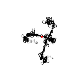 CN1Cc2c(Cl)cc(Cl)cc2[C@H](c2cccc(S(=O)(=O)NCCOCCOCCNC(=O)CCC(CCC(=O)NCCOCCOCCNS(=O)(=O)c3cccc([C@@H]4CN(C)Cc5c(Cl)cc(Cl)cc54)c3)(CCC(=O)NCCOCCOCCNS(=O)(=O)c3cccc([C@@H]4CN(C)Cc5c(Cl)cc(Cl)cc54)c3)NC(=O)Cc3nnn[nH]3)c2)C1